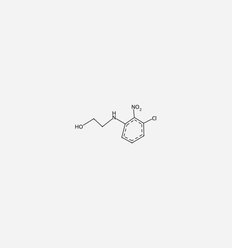 O=[N+]([O-])c1c(Cl)cccc1NCCO